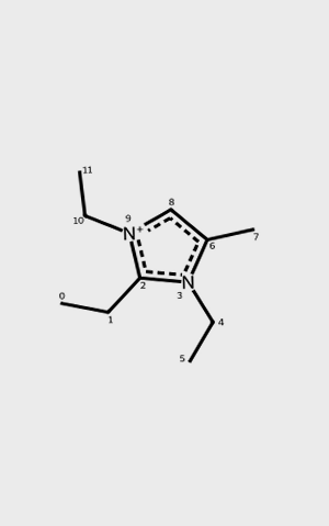 CCc1n(CC)c(C)c[n+]1CC